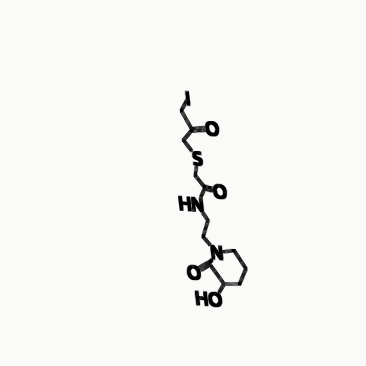 O=C(CI)CSCC(=O)NCCN1CCCC(O)C1=O